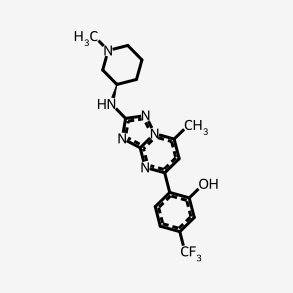 Cc1cc(-c2ccc(C(F)(F)F)cc2O)nc2nc(N[C@@H]3CCCN(C)C3)nn12